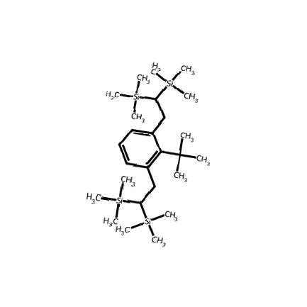 CC(C)(C)c1c(CC([Si](C)(C)C)[Si](C)(C)C)cccc1CC([Si](C)(C)C)[Si](C)(C)C